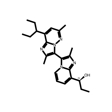 CCC(CC)c1cc(C)nn2c(-c3c(C)nc4c([C@@H](O)CC)cccn34)c(C)nc12